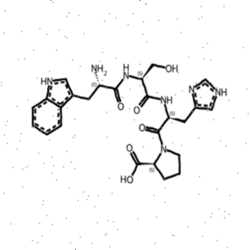 N[C@@H](Cc1c[nH]c2ccccc12)C(=O)N[C@@H](CO)C(=O)N[C@@H](Cc1c[nH]cn1)C(=O)N1CCC[C@H]1C(=O)O